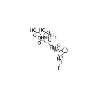 NC(=O)N(C(CCCCNC(=O)Nc1ccccc1-c1cn(CCF)nn1)C(=O)O)C(CCC(=O)O)C(=O)O